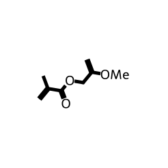 C=C(COC(=O)C(=C)C)OC